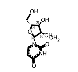 O.O=c1ccn([C@@H]2O[C@H](CO)[C@@H](O)[C@H]2O)c(=O)[nH]1